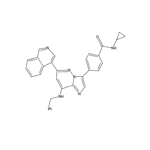 CC(C)CNc1cc(-c2cncc3ccccc23)nn2c(-c3ccc(C(=O)NC4CC4)cc3)cnc12